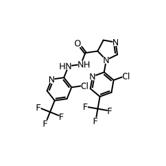 O=C(NNc1ncc(C(F)(F)F)cc1Cl)C1CN=CN1c1ncc(C(F)(F)F)cc1Cl